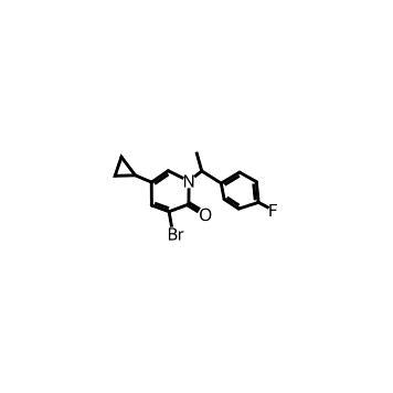 CC(c1ccc(F)cc1)n1cc(C2CC2)cc(Br)c1=O